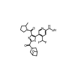 CCCNc1cc(C(F)F)c(-c2sc(C(=O)N3CC4CC(C3)O4)nc2C(=O)N2CCCC2C)cn1